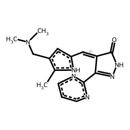 Cc1[nH]c(/C=C2/C(=O)NN=C2c2ncccn2)cc1CN(C)C